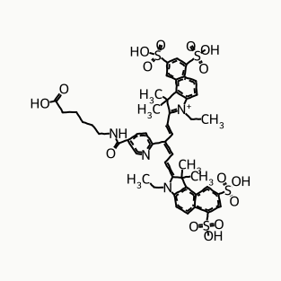 CCN1/C(=C/C=C(/C=C/C2=[N+](CC)c3ccc4c(S(=O)(=O)O)cc(S(=O)(=O)O)cc4c3C2(C)C)c2ccc(C(=O)NCCCCCC(=O)O)cn2)C(C)(C)c2c1ccc1c(S(=O)(=O)O)cc(S(=O)(=O)O)cc21